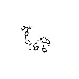 CC(=O)O[C@@]12CO[C@@H]1C[C@H](O)[C@@]1(C)C(=O)[C@H](O)C3=C(C)[C@@H](OC(=O)[C@H](OC(=O)N4CCN(Cc5ccc(-c6c(-c7cc(C(C)C)c(O)cc7O)n[nH]c6C)cc5)CC4)[C@@H](NC(=O)OC(C)(C)C)c4ccccc4)C[C@@](O)([C@@H](OC(=O)c4ccccc4)[C@H]21)C3(C)C